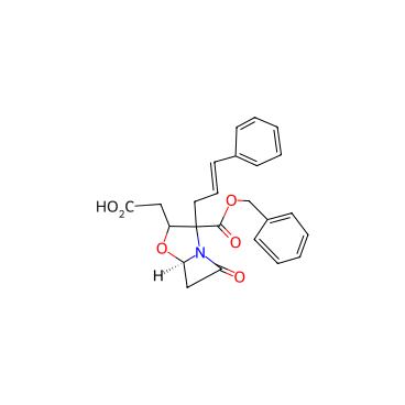 O=C(O)CC1O[C@@H]2CC(=O)N2C1(C/C=C/c1ccccc1)C(=O)OCc1ccccc1